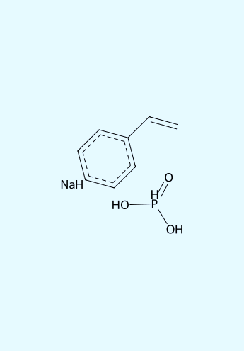 C=Cc1ccccc1.O=[PH](O)O.[NaH]